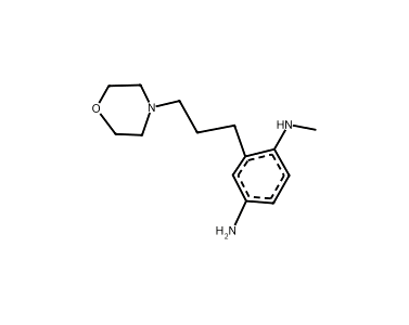 CNc1ccc(N)cc1CCCN1CCOCC1